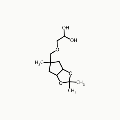 CC1(COCC(O)O)CC2OC(C)(C)OC2C1